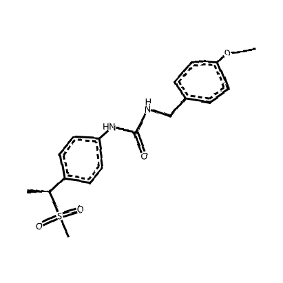 COc1ccc(CNC(=O)Nc2ccc([C@H](C)S(C)(=O)=O)cc2)cc1